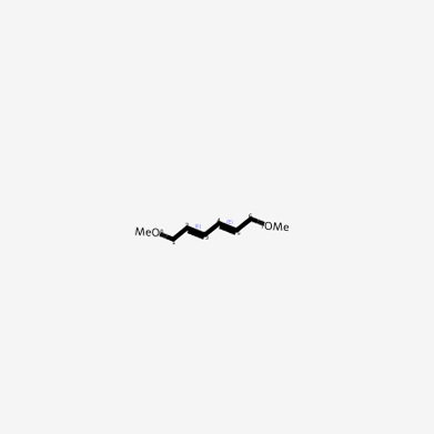 COC/C=C/C=C/COC